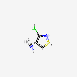 C#N.Clc1ccsn1